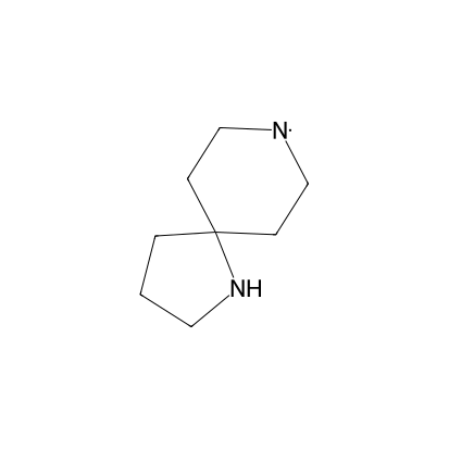 C1CNC2(C1)CC[N]CC2